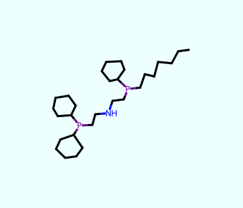 CCCCCCCP(CCNCCP(C1CCCCC1)C1CCCCC1)C1CCCCC1